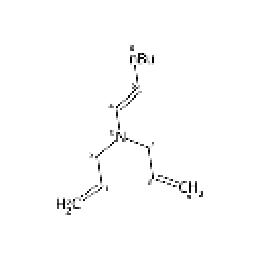 C=CCN(/C=C/CCCC)CC=C